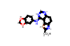 O=C(O)c1nc2ccc3ncnc(Nc4ccc5c(c4)OCO5)c3c2s1